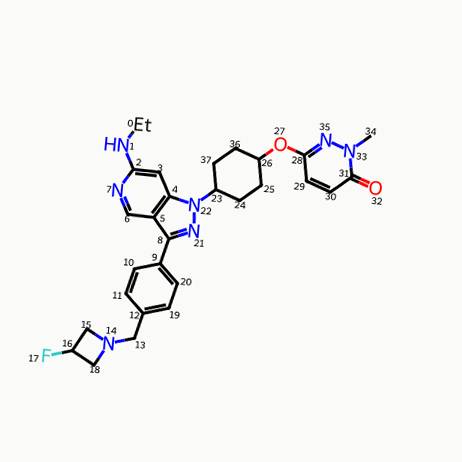 CCNc1cc2c(cn1)c(-c1ccc(CN3CC(F)C3)cc1)nn2C1CCC(Oc2ccc(=O)n(C)n2)CC1